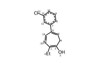 CCC1=C(O)CC=C(c2cccc(Cl)c2)C=N1